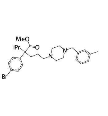 COC(=O)C(CCCN1CCN(Cc2cccc(C)c2)CC1)(c1ccc(Br)cc1)C(C)C